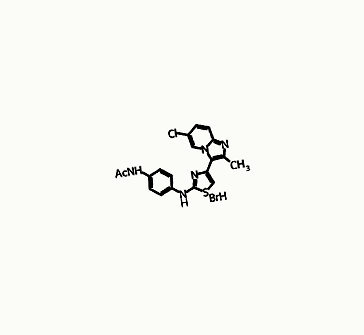 Br.CC(=O)Nc1ccc(Nc2nc(-c3c(C)nc4ccc(Cl)cn34)cs2)cc1